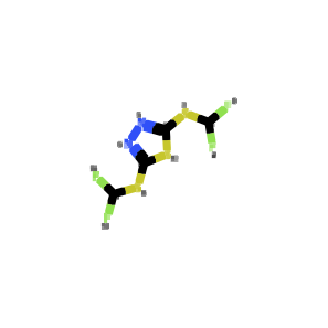 FC(F)Sc1nnc(SC(F)F)s1